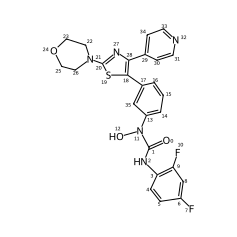 O=C(Nc1ccc(F)cc1F)N(O)c1cccc(-c2sc(N3CCOCC3)nc2-c2ccncc2)c1